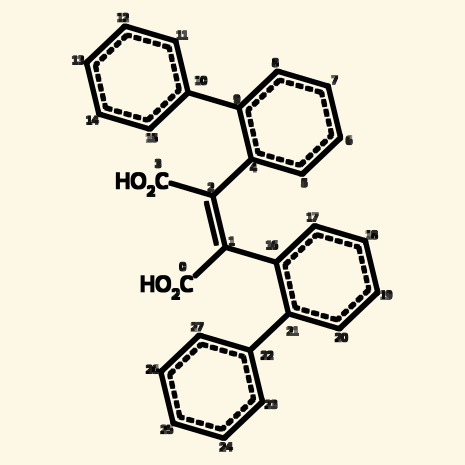 O=C(O)C(=C(C(=O)O)c1ccccc1-c1ccccc1)c1ccccc1-c1ccccc1